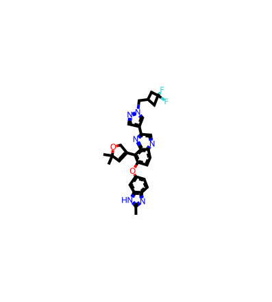 Cc1nc2ccc(Oc3ccc4ncc(-c5cnn(CC6CC(F)(F)C6)c5)nc4c3C3=CC(C)(C)OC3)cc2[nH]1